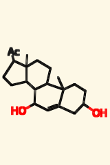 CC(=O)C1CCC2C3C(O)C=C4CC(O)CCC4(C)C3CCC12C